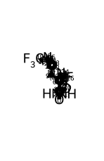 O=c1[nH]cc(-c2cc([C@H]3C[C@@H]3c3ccc4cnn(CC(F)(F)F)c4c3)c3ncc(F)n3n2)c(=O)[nH]1